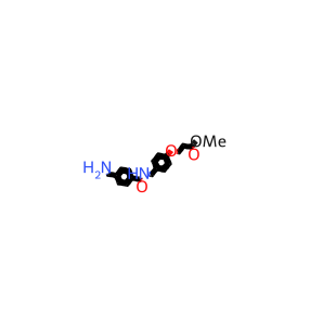 COC(=O)CCOc1ccc(CNC(=O)c2ccc(CN)cc2)cc1